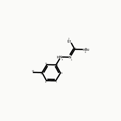 CCCCC(CC)=NNc1cccc(C)c1